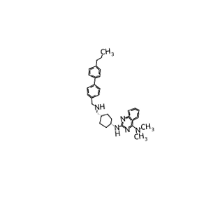 CCCc1ccc(-c2ccc(CNC[C@H]3CC[C@@H](Nc4nc(N(C)C)c5ccccc5n4)CC3)cc2)cc1